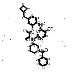 C=CC(=O)Nc1cc(CC2CCC2)ccc1Nc1nc(N[C@H]2CCCN(C(=O)c3ccccc3)C2)ncc1C(F)(F)F